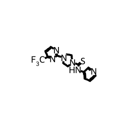 FC(F)(F)c1ccnc(N2CCN(C(=S)Nc3cccnc3)CC2)n1